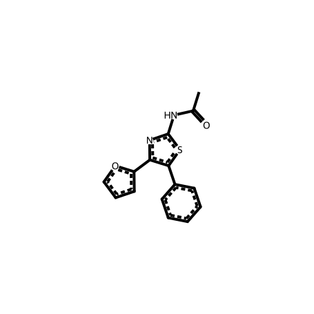 CC(=O)Nc1nc(-c2ccco2)c(-c2ccccc2)s1